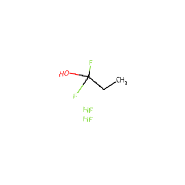 CCC(O)(F)F.F.F